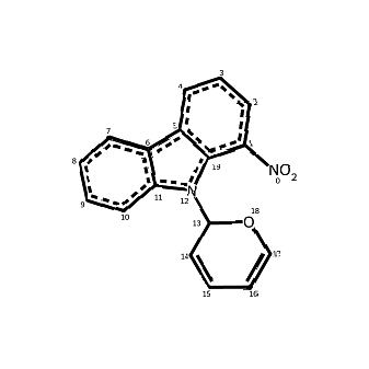 O=[N+]([O-])c1cccc2c3ccccc3n(C3C=CC=CO3)c12